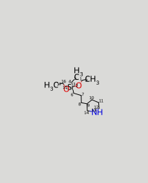 CCO[Si](CC)(CCCC1CCCNC1)OCC